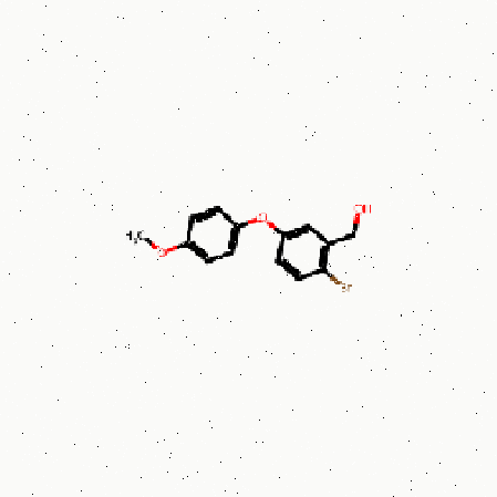 COc1ccc(Oc2ccc(Br)c(CO)c2)cc1